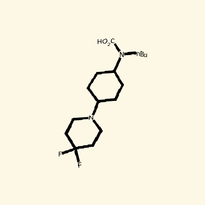 CCCCN(C(=O)O)C1CCC(N2CCC(F)(F)CC2)CC1